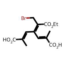 CCOC(=O)C(CBr)=C(C=C(C)C(=O)O)C=C(C)C(=O)O